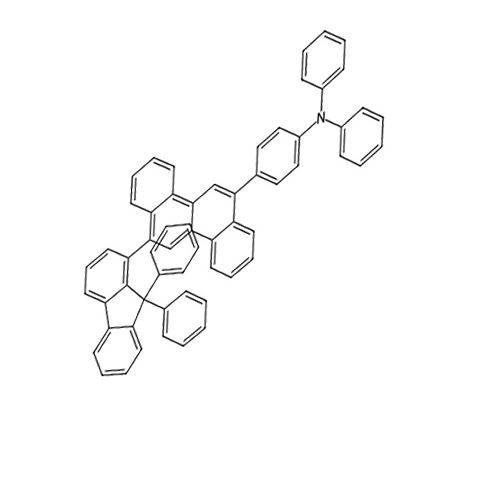 c1ccc(N(c2ccccc2)c2ccc(-c3cc4c5ccccc5c(-c5cccc6c5C(c5ccccc5)(c5ccccc5)c5ccccc5-6)cc4c4ccccc34)cc2)cc1